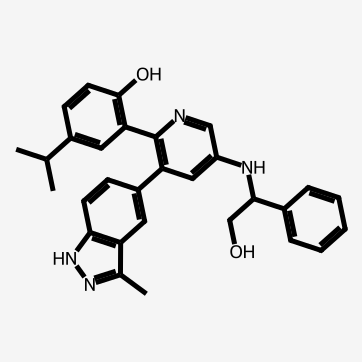 Cc1n[nH]c2ccc(-c3cc(NC(CO)c4ccccc4)cnc3-c3cc(C(C)C)ccc3O)cc12